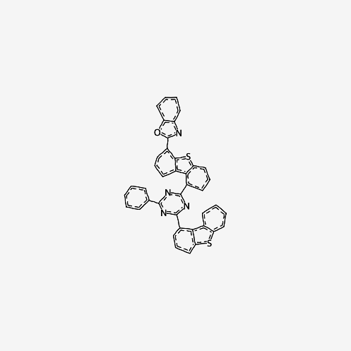 c1ccc(-c2nc(-c3cccc4sc5ccccc5c34)nc(-c3cccc4sc5c(-c6nc7ccccc7o6)cccc5c34)n2)cc1